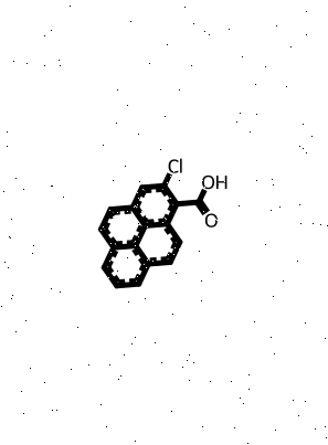 O=C(O)c1c(Cl)cc2ccc3cccc4ccc1c2c34